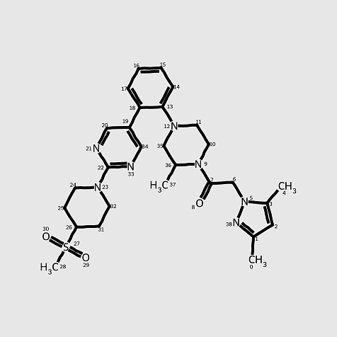 Cc1cc(C)n(CC(=O)N2CCN(c3ccccc3-c3cnc(N4CCC(S(C)(=O)=O)CC4)nc3)CC2C)n1